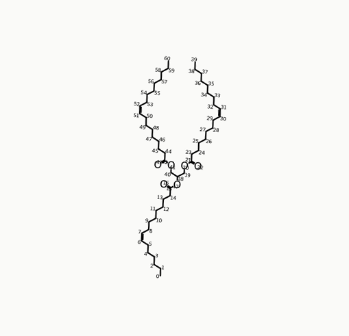 CCCCCC/C=C\CCCCCCCC(=O)OC(COC(=O)CCCCCCC/C=C\CCCCCCCC)COC(=O)CCCCCCC/C=C\CCCCCCCC